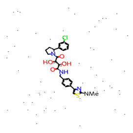 CNc1nc(-c2ccc(CNC(=O)[C@H](O)[C@@H](O)C(=O)N3CCCC3c3cccc(Cl)c3)cc2)cs1